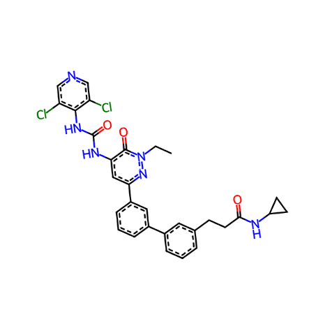 CCn1nc(-c2cccc(-c3cccc(CCC(=O)NC4CC4)c3)c2)cc(NC(=O)Nc2c(Cl)cncc2Cl)c1=O